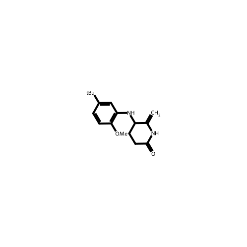 C=C1NC(=O)CCC1Nc1cc(C(C)(C)C)ccc1OC